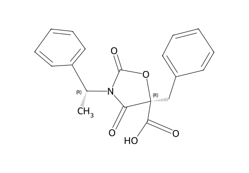 C[C@H](c1ccccc1)N1C(=O)O[C@@](Cc2ccccc2)(C(=O)O)C1=O